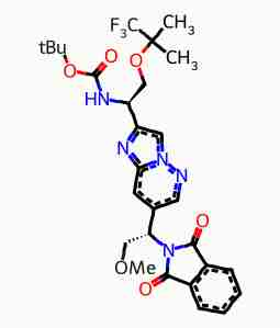 COC[C@H](c1cnn2cc([C@H](COC(C)(C)C(F)(F)F)NC(=O)OC(C)(C)C)nc2c1)N1C(=O)c2ccccc2C1=O